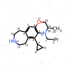 CC(C)CN1c2c(cc3c(c2C2CC2)CCNCC3)OC[C@H]1C